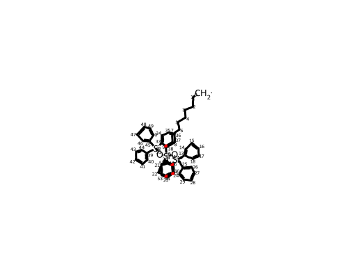 [CH2]CCCCCCCCC[Si](O[Si](c1ccccc1)(c1ccccc1)c1ccccc1)(O[Si](c1ccccc1)(c1ccccc1)c1ccccc1)c1ccccc1